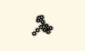 c1ccc(-c2ccc(-c3ccc(N(c4ccc(-c5cccc6ccc7ccccc7c56)cc4)c4ccc5c(c4)C(c4ccccc4)(c4ccccc4)c4ccccc4-5)cc3)cc2)cc1